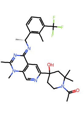 CC(=O)N1CCC(O)(c2cc3/c(=N/[C@H](C)c4cccc(C(F)(F)F)c4C)nc(C)n(C)c3cn2)CC1(C)C